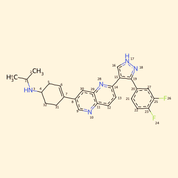 CC(C)NC1CC=C(c2cnc3ccc(-c4c[nH]nc4-c4ccc(F)c(F)c4)nc3c2)CC1